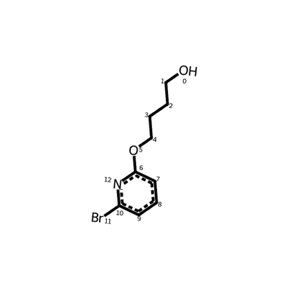 OCCCCOc1cccc(Br)n1